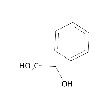 O=C(O)CO.c1ccccc1